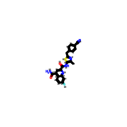 Cc1nc(Cc2ccc(C#N)cc2)sc1NC(=O)c1cc(C(N)=O)c2ccc(F)cc2n1